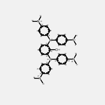 CN(C)c1ccc(N(c2ccc(N(C)C)cc2)c2cccc(N(c3ccc(N(C)C)cc3)c3ccc(N(C)C)cc3)c2Cl)cc1